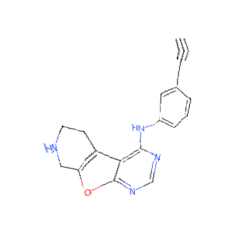 C#Cc1cccc(Nc2ncnc3oc4c(c23)CCNC4)c1